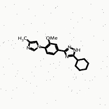 COc1cc(-c2n[nH]c(C3CCCCC3)n2)ccc1-n1cnc(C)c1